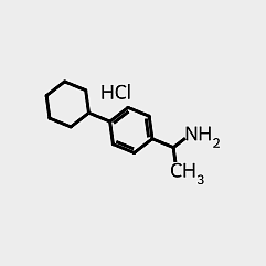 CC(N)c1ccc(C2CCCCC2)cc1.Cl